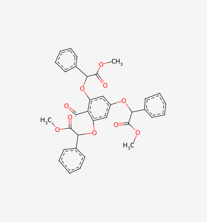 COC(=O)C(Oc1cc(OC(C(=O)OC)c2ccccc2)c([C]=O)c(OC(C(=O)OC)c2ccccc2)c1)c1ccccc1